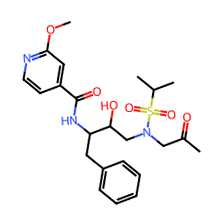 COc1cc(C(=O)NC(Cc2ccccc2)C(O)CN(CC(C)=O)S(=O)(=O)C(C)C)ccn1